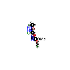 COc1cc2c(Oc3ccc(NC(=O)Nc4cc(C)cc(C)c4F)c(Cl)c3)ncnc2cc1OCCCCl